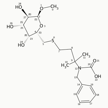 CO[C@H]1O[C@H](CSCCC(C)(C)N(Cc2ccccc2)C(=O)O)[C@H](O)[C@H](O)[C@H]1O